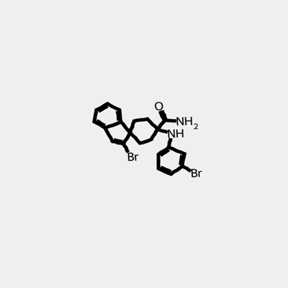 NC(=O)C1(Nc2cccc(Br)c2)CCC2(CC1)C(Br)=Cc1ccccc12